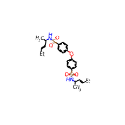 CCC=CC(C)NS(=O)(=O)c1ccc(Oc2ccc(S(=O)(=O)NC(C)C=CCC)cc2)cc1